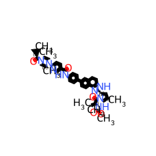 COC(=O)N[C@H](C(=O)N1C[C@@H](C)C[C@H]1c1nc2c([nH]1)CCc1cc(-c3ccc(NC(=O)c4ccc(N5CCN(C(=O)[C@H]6CC6(C)C)C[C@H]5C)nc4)cc3)ccc1-2)C(C)C